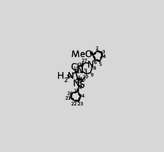 COc1ccccc1N1CCCN(C(C)(N)c2csc(-c3ccccc3)n2)CC1